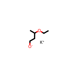 CCOC(C)CC[O-].[K+]